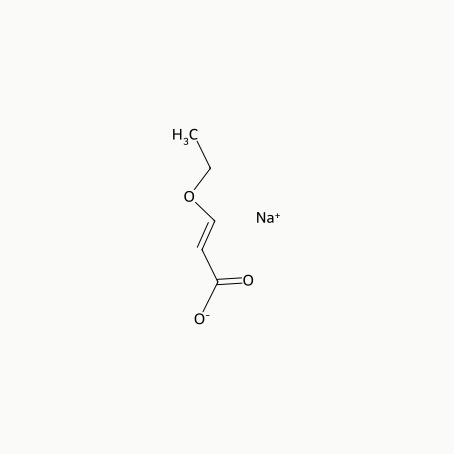 CCO/C=C/C(=O)[O-].[Na+]